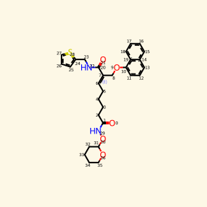 O=C(CCCC/C=C(\COc1cccc2ccccc12)C(=O)NCc1cccs1)NOC1CCCCO1